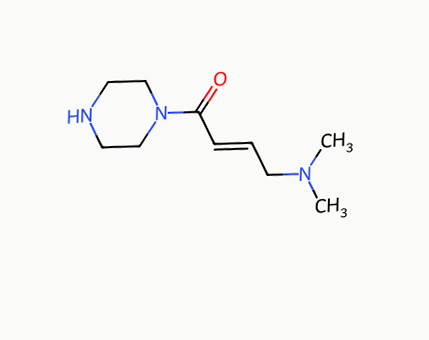 CN(C)CC=CC(=O)N1CCNCC1